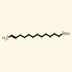 [CH2]/C=C/CCCCCCCCCCCCCCCCCC